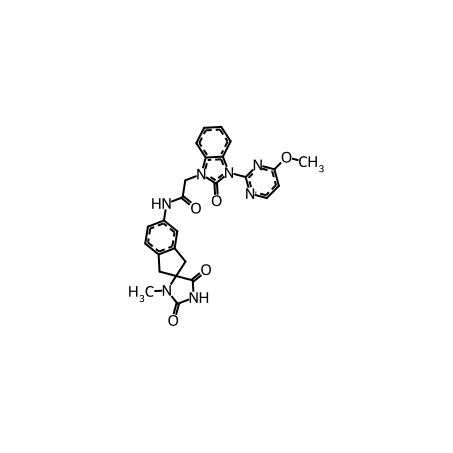 COc1ccnc(-n2c(=O)n(CC(=O)Nc3ccc4c(c3)CC3(C4)C(=O)NC(=O)N3C)c3ccccc32)n1